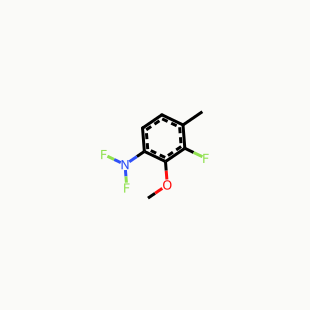 COc1c(N(F)F)ccc(C)c1F